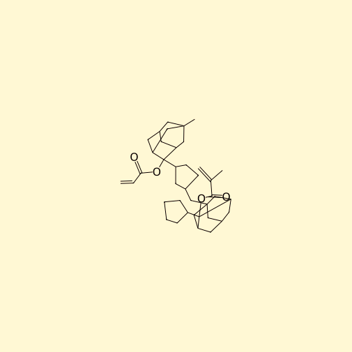 C=CC(=O)OC1(C2CCC(CC34CC5CC(C3)C(OC(=O)C(=C)C)(C3CCCC3)C(C5)C4)C2)C2CC3CC1CC(C)(C3)C2